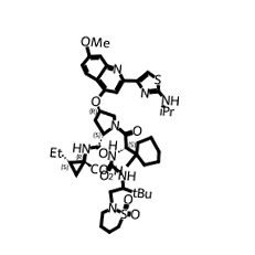 CC[C@H]1C[C@]1(NC(=O)[C@@H]1C[C@@H](Oc2cc(-c3csc(NC(C)C)n3)nc3cc(OC)ccc23)CN1C(=O)[C@@H](NC(=O)NC(CN1CCCCS1(=O)=O)C(C)(C)C)C1(C)CCCCC1)C(=O)O